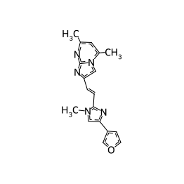 Cc1cc(C)n2cc(/C=C/c3nc(-c4ccoc4)cn3C)nc2n1